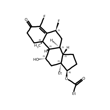 CCC(=O)O[C@@H]1CC[C@H]2[C@@H]3C[C@H](F)C4=C(F)C(=O)CC[C@]4(C)[C@H]3[C@@H](O)C[C@]12CC